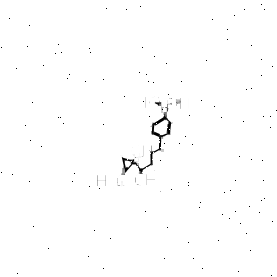 C=C(CCCc1ccc(B(O)O)cc1)[C@]1(C)C[C@@H]1C